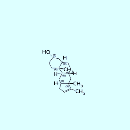 CC1=CC[C@H]2C[C@@H]3[C@H](CC[C@@H]4C[C@@H](O)CC[C@]43C)C[C@]12C